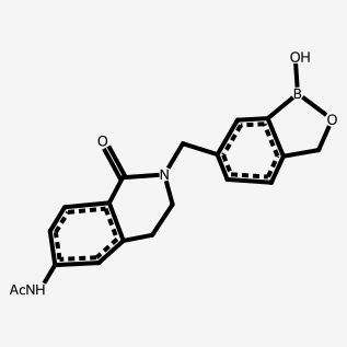 CC(=O)Nc1ccc2c(c1)CCN(Cc1ccc3c(c1)B(O)OC3)C2=O